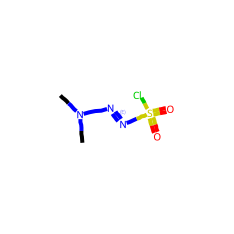 CN(C)/N=N/S(=O)(=O)Cl